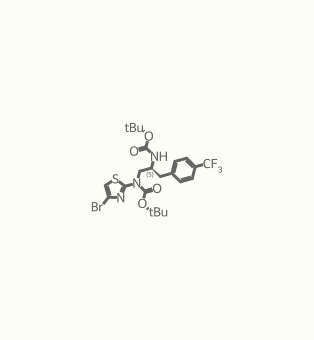 CC(C)(C)OC(=O)N[C@@H](Cc1ccc(C(F)(F)F)cc1)CN(C(=O)OC(C)(C)C)c1nc(Br)cs1